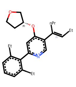 CC/C=C(\CCC)c1cnc(-c2c(CC)cccc2CC)cc1O[C@@H]1CCOC1